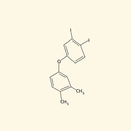 Cc1ccc(Oc2ccc(I)c(I)c2)cc1C